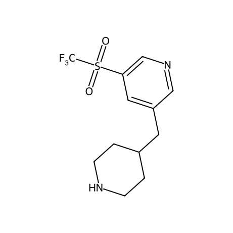 O=S(=O)(c1cncc(CC2CCNCC2)c1)C(F)(F)F